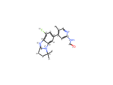 Cc1cnc(NC=O)cc1-c1cc(F)c2nc3n(c2c1)C(C)(C)CC3